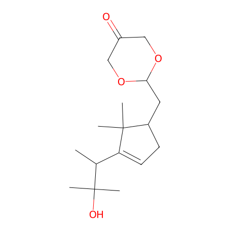 CC(C1=CCC(CC2OCC(=O)CO2)C1(C)C)C(C)(C)O